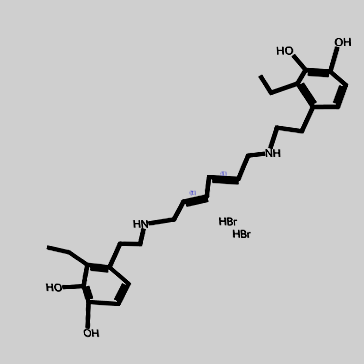 Br.Br.CCc1c(CCNC/C=C/C=C/CNCCc2ccc(O)c(O)c2CC)ccc(O)c1O